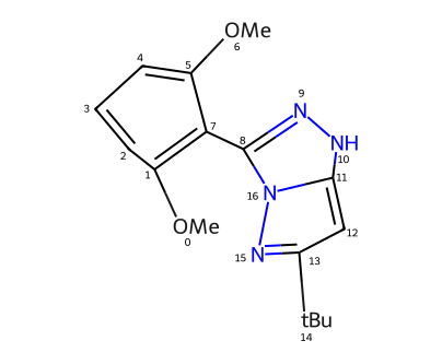 COc1cccc(OC)c1-c1n[nH]c2cc(C(C)(C)C)nn12